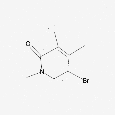 CC1=C(C)C(Br)CN(C)C1=O